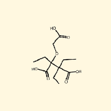 CCC(CC)(C(=O)O)C(CC)(OCC(=O)O)C(=O)O